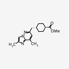 COC(=O)[C@H]1CC[C@H](Cc2cc(C)c3nc(C)cn3n2)CC1